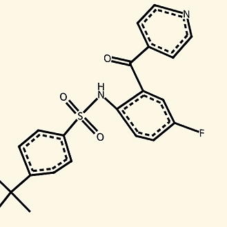 CC(C)(C)c1ccc(S(=O)(=O)Nc2ccc(F)cc2C(=O)c2ccncc2)cc1